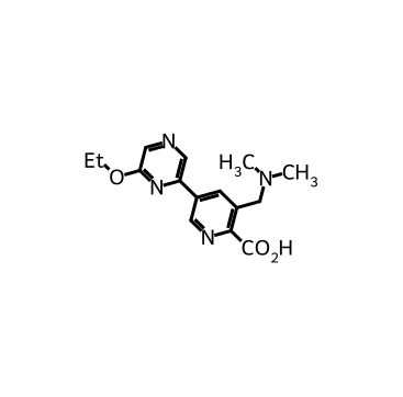 CCOc1cncc(-c2cnc(C(=O)O)c(CN(C)C)c2)n1